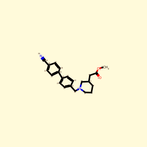 COC(=O)CC1CCCN(Cc2ccc(-c3ccc(C#N)cc3)cc2)C1